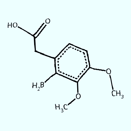 Bc1c(CC(=O)O)ccc(OC)c1OC